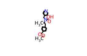 COC(=O)c1ccc(CC(C)N(Cc2ccncc2)C(=O)O)cc1